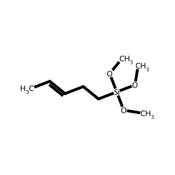 CC=CCC[Si](OC)(OC)OC